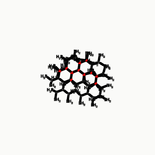 BB(B)B(B)B(B(B)B)B(B(BB(B(B(B(B)B)B(B)B)B(B(B)B)B(B)B)B(B(B(B)B)B(B)B)B(B(B)B)B(B)B)B(B(B(B(B)B)B(B)B)B(B(B)B)B(B)B)B(B(B(B)B)B(B)B)B(B(B)B)B(B)B)B(B(B)B)B(B)B